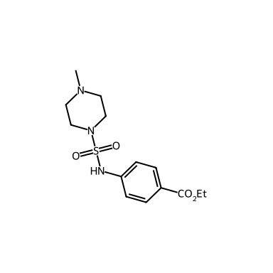 CCOC(=O)c1ccc(NS(=O)(=O)N2CCN(C)CC2)cc1